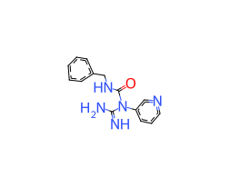 N=C(N)N(C(=O)NCc1ccccc1)c1cccnc1